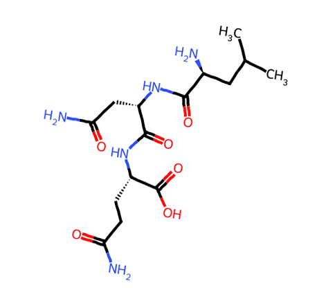 CC(C)C[C@H](N)C(=O)N[C@@H](CC(N)=O)C(=O)N[C@@H](CCC(N)=O)C(=O)O